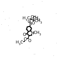 CCOC(=O)c1cn(C)c2cc(B3OC(C)(C)C(C)(C)O3)ccc2c1=O